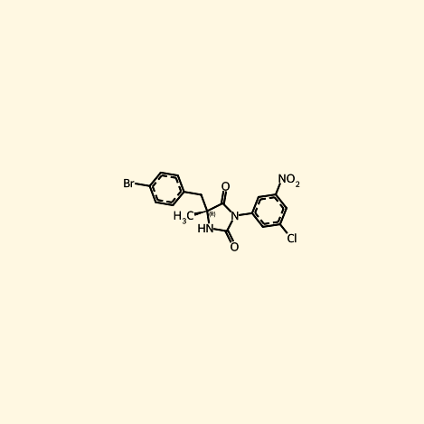 C[C@]1(Cc2ccc(Br)cc2)NC(=O)N(c2cc(Cl)cc([N+](=O)[O-])c2)C1=O